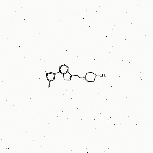 CN1CCN(CCC2=CCc3c2cccc3-c2cccc(F)c2)CC1